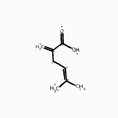 C=C(CC=C(C)C)C(=O)O